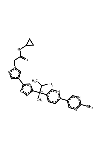 CC(C)[C@](C)(c1ccc(-c2cnc(N)nc2)nc1)c1noc(-c2cnn(CC(=O)NC3CC3)c2)n1